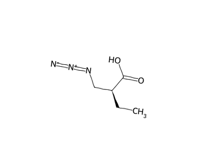 CC[C@@H](CN=[N+]=[N-])C(=O)O